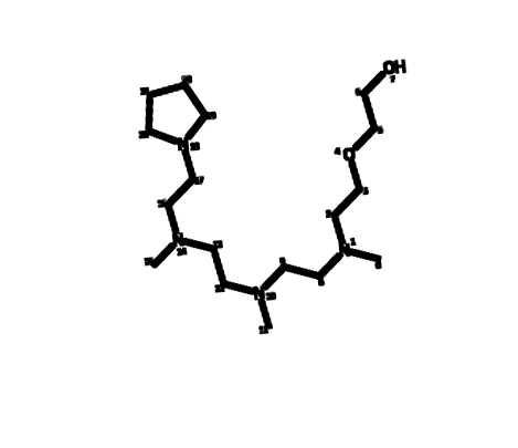 CN(CCOCCO)CCN(C)CCN(C)CCN1CCCC1